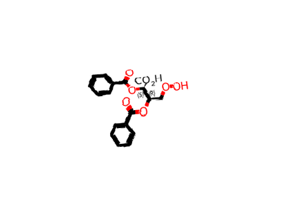 O=C(O[C@H](C(=O)O)[C@@H](COO)OC(=O)c1ccccc1)c1ccccc1